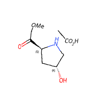 CC(=O)O.COC(=O)[C@@H]1C[C@@H](O)CN1